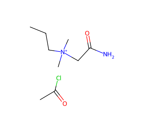 CC(=O)Cl.CCC[N+](C)(C)CC(N)=O